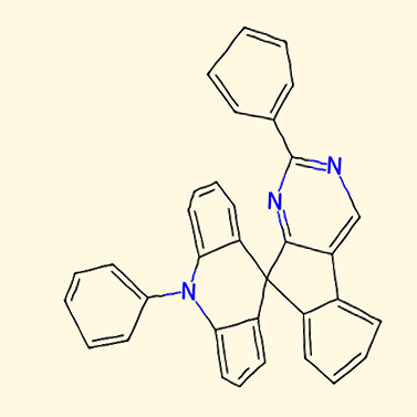 c1ccc(-c2ncc3c(n2)C2(c4ccccc4-3)c3ccccc3N(c3ccccc3)c3ccccc32)cc1